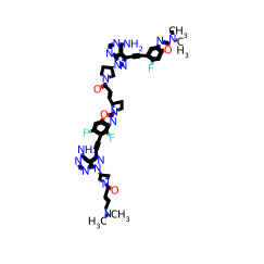 CN(C)C/C=C/C(=O)N1CC(n2nc(C#Cc3c(F)cc4oc(N5CCC5/C=C/C(=O)N5CC[C@H](n6nc(C#Cc7cc8nc(N(C)C)oc8cc7F)c7c(N)ncnc76)C5)nc4c3F)c3c(N)ncnc32)C1